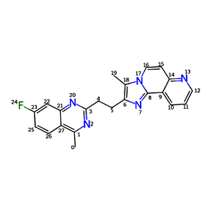 Cc1nc(CCc2nc3c4cccnc4ccn3c2C)nc2cc(F)ccc12